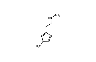 CNCCc1cn(C)cn1